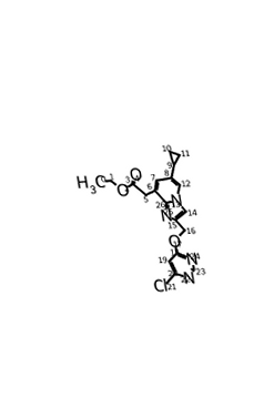 CCOC(=O)Cc1cc(C2CC2)cn2cc(COc3cc(Cl)ncn3)nc12